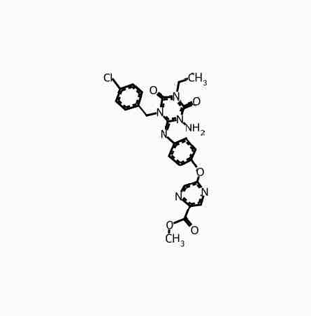 CCn1c(=O)n(N)/c(=N\c2ccc(Oc3cnc(C(=O)OC)cn3)cc2)n(Cc2ccc(Cl)cc2)c1=O